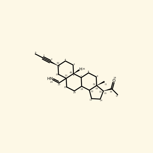 CC#C[C@H]1CC[C@@H]2C3CC[C@@]4(C)C(CC[C@@H]4C(C)=O)C3CCC2(C=N)C1